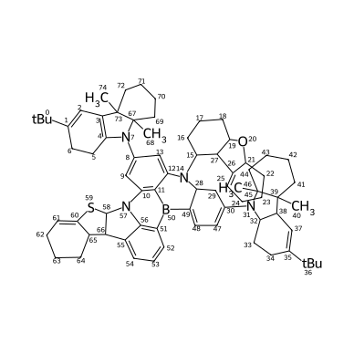 CC(C)(C)C1=CC2=C(CC1)N(c1cc3c4c(c1)N(C1CCCC5OC6CCCC=C6C51)C1CC(N5C6CCC(C(C)(C)C)=CC6C6(C)CCCCC56C)=CC=C1B4c1cccc4c1N3C1SC3=CCCCC3C41)C1(C)CCCCC21C